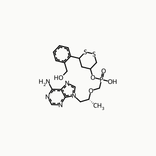 C[C@H](Cn1cnc2c(N)ncnc21)OCP(=O)(O)OC1CSSC(c2ccccc2CO)C1